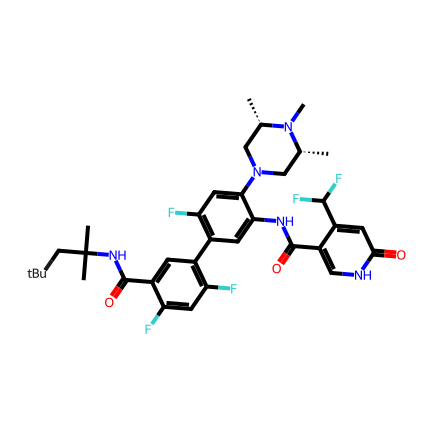 C[C@@H]1CN(c2cc(F)c(-c3cc(C(=O)NC(C)(C)CC(C)(C)C)c(F)cc3F)cc2NC(=O)c2c[nH]c(=O)cc2C(F)F)C[C@H](C)N1C